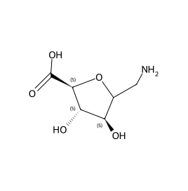 NCC1O[C@H](C(=O)O)[C@@H](O)[C@@H]1O